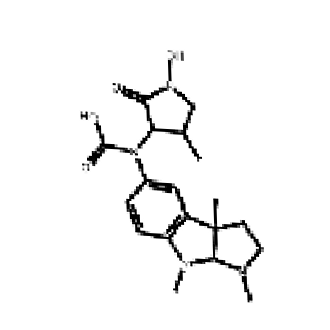 CC1CN(O)C(=O)C1N(C(=O)O)c1ccc2c(c1)[C@]1(C)CCN(C)C1N2C